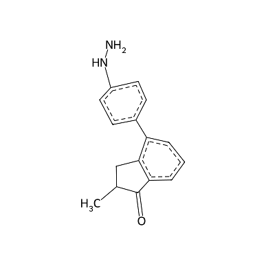 CC1Cc2c(cccc2-c2ccc(NN)cc2)C1=O